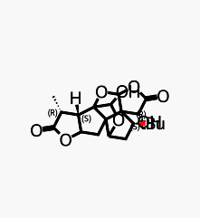 C[C@H]1C(=O)OC2CC34C5C[C@@H](C(C)(C)C)C36C(OC(=O)[C@@H]6O)OC4(C(O)O5)[C@H]21